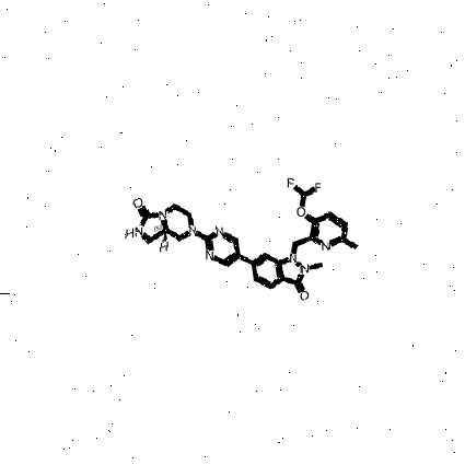 Cc1ccc(OC(F)F)c(Cn2c3cc(-c4cnc(N5CCN6C(=O)NC[C@H]6C5)nc4)ccc3c(=O)n2C)n1